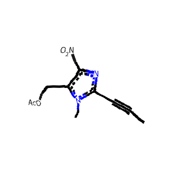 CC#Cc1nc([N+](=O)[O-])c(COC(C)=O)n1C